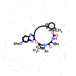 COc1ccc2nc3c(nc2c1)O[C@H]1CN(C(=O)[C@H](C(C)(C)C)NC(=O)O[C@H]2[C@H](CCCCC3)CCC[C@H]2C)[C@H](C(C)=O)[C@@H]1C